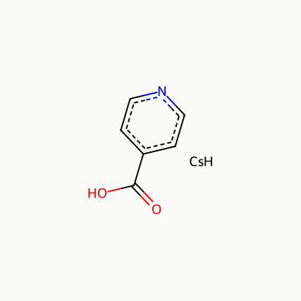 O=C(O)c1ccncc1.[CsH]